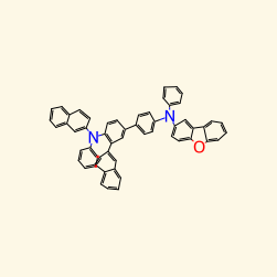 c1ccc(N(c2ccc(-c3ccc(N(c4ccccc4)c4ccc5ccccc5c4)c(-c4ccc5ccccc5c4)c3)cc2)c2ccc3oc4ccccc4c3c2)cc1